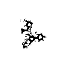 Cc1ccnc([C@@H](NC(=O)c2cc(Cn3ccoc3=N)cc(-c3ccc(F)cc3C)c2)C2CC2)c1